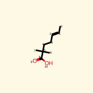 CC=CCCC(C)(C)C(=O)O